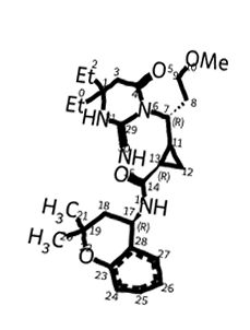 CCC1(CC)CC(=O)N([C@H](CCOC)C2C[C@H]2C(=O)N[C@@H]2CC(C)(C)Oc3ccccc32)C(=N)N1